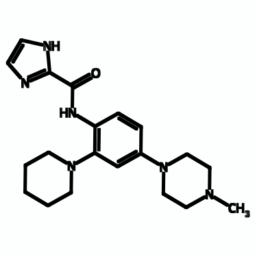 CN1CCN(c2ccc(NC(=O)c3ncc[nH]3)c(N3CCCCC3)c2)CC1